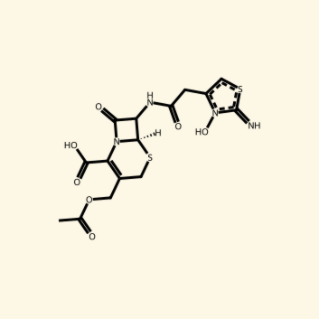 CC(=O)OCC1=C(C(=O)O)N2C(=O)C(NC(=O)Cc3csc(=N)n3O)[C@H]2SC1